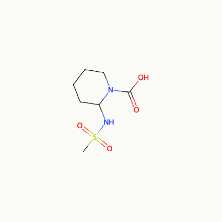 CS(=O)(=O)NC1CCCCN1C(=O)O